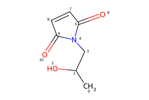 CC(O)CN1C(=O)C=CC1=O